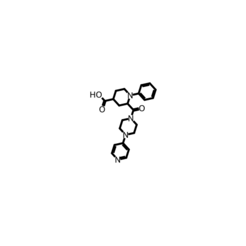 O=C(O)C1CCN(c2ccccc2)C(C(=O)N2CCN(c3ccncc3)CC2)C1